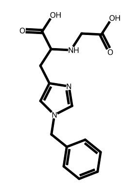 O=C(O)CNC(Cc1cn(Cc2ccccc2)cn1)C(=O)O